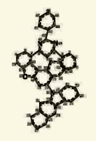 c1ccc(-c2cc(-c3cccc4oc5cc(-n6c7ccccc7c7cc8ccccc8cc76)c6ccccc6c5c34)nc(-c3ccccc3)n2)cc1